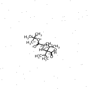 CC(C)C(NNC(=O)OC(C)(C)C)(C(=O)O)C(C)C